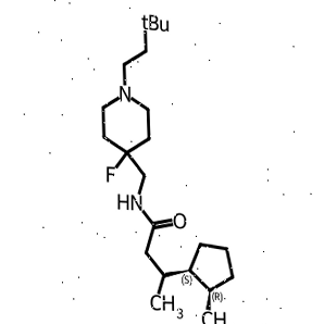 CC(CC(=O)NCC1(F)CCN(CCC(C)(C)C)CC1)[C@H]1CCC[C@H]1C